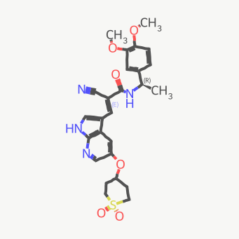 COc1ccc([C@@H](C)NC(=O)/C(C#N)=C/c2c[nH]c3ncc(OC4CCS(=O)(=O)CC4)cc23)cc1OC